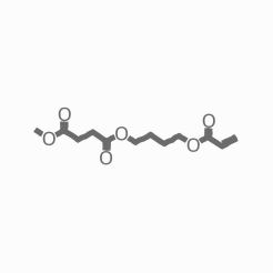 C=CC(=O)OCCCCOC(=O)CCC(=O)OC